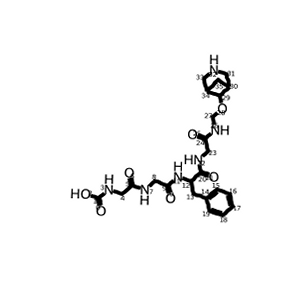 O=C(O)NCC(=O)NCC(=O)NC(Cc1ccccc1)C(=O)NCC(=O)NCOC1C2CNCC1C2